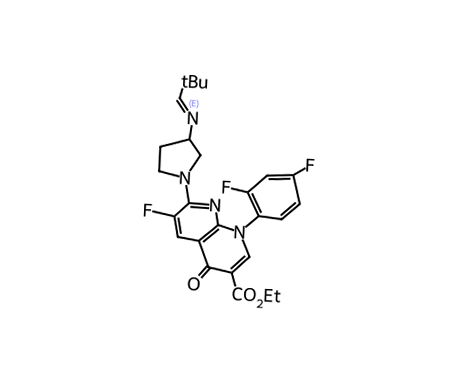 CCOC(=O)c1cn(-c2ccc(F)cc2F)c2nc(N3CCC(/N=C/C(C)(C)C)C3)c(F)cc2c1=O